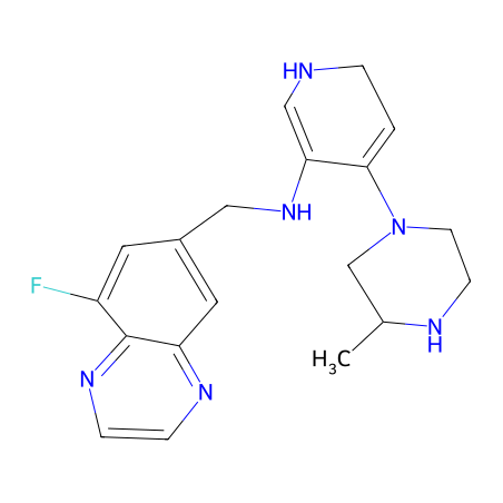 CC1CN(C2=CCNC=C2NCc2cc(F)c3nccnc3c2)CCN1